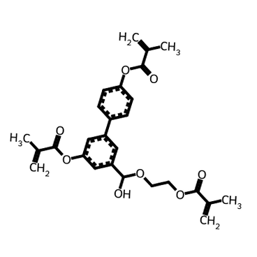 C=C(C)C(=O)OCCOC(O)c1cc(OC(=O)C(=C)C)cc(-c2ccc(OC(=O)C(=C)C)cc2)c1